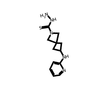 NNC(=S)N1CC2(CC(Nc3ccccn3)C2)C1